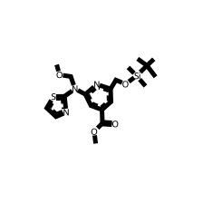 COCN(c1cc(C(=O)OC)cc(CO[Si](C)(C)C(C)(C)C)n1)c1nccs1